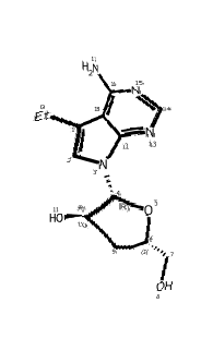 CCc1cn([C@@H]2O[C@H](CO)C[C@H]2O)c2ncnc(N)c12